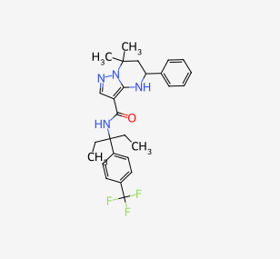 CCC(CC)(NC(=O)c1cnn2c1NC(c1ccccc1)CC2(C)C)c1ccc(C(F)(F)F)cc1